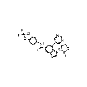 C[C@H]1OCC[C@H]1n1cnc2cc(C(=O)Nc3ccc(OC(F)(F)Cl)cc3)cc(-c3cncnc3)c21